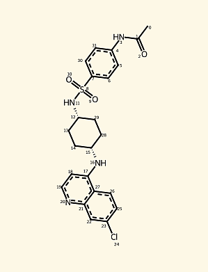 CC(=O)Nc1ccc(S(=O)(=O)N[C@H]2CC[C@@H](Nc3ccnc4cc(Cl)ccc34)CC2)cc1